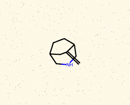 C=C1CC2CCC1CNC2